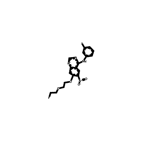 O=[N+]([O-])c1cc2c(Nc3cccc(I)c3)ncnc2cc1OCCOCCF